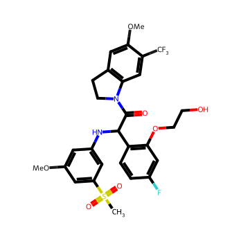 COc1cc(NC(C(=O)N2CCc3cc(OC)c(C(F)(F)F)cc32)c2ccc(F)cc2OCCO)cc(S(C)(=O)=O)c1